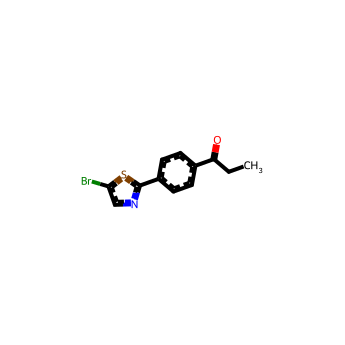 CCC(=O)c1ccc(-c2ncc(Br)s2)cc1